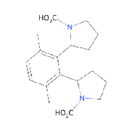 Cc1ccc(C)c(C2CCCN2C(=O)O)c1C1CCCN1C(=O)O